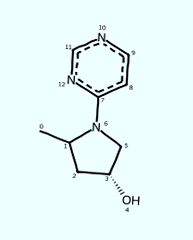 CC1C[C@@H](O)CN1c1ccncn1